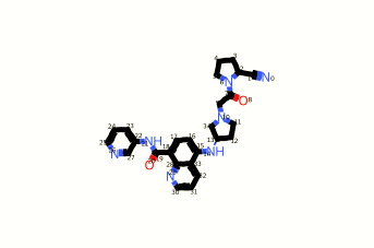 N#CC1CCCN1C(=O)CN1CC[C@H](Nc2ccc(C(=O)Nc3cccnc3)c3ncccc23)C1